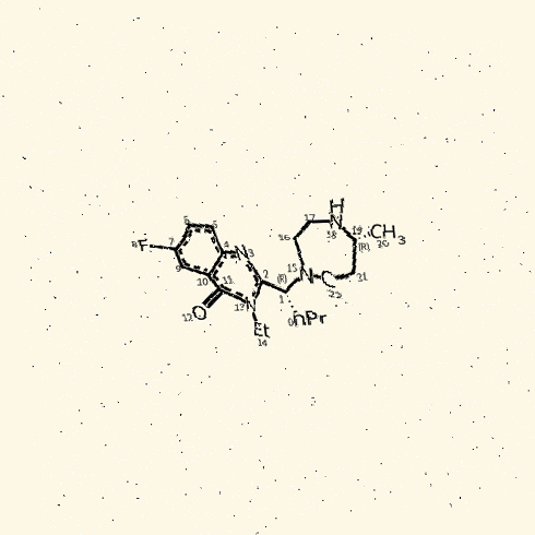 CCC[C@H](c1nc2ccc(F)cc2c(=O)n1CC)N1CCN[C@H](C)CC1